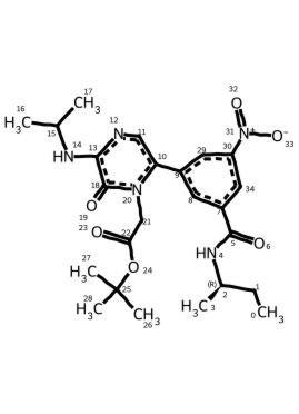 CC[C@@H](C)NC(=O)c1cc(-c2cnc(NC(C)C)c(=O)n2CC(=O)OC(C)(C)C)cc([N+](=O)[O-])c1